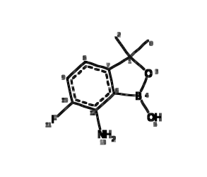 CC1(C)OB(O)c2c1ccc(F)c2N